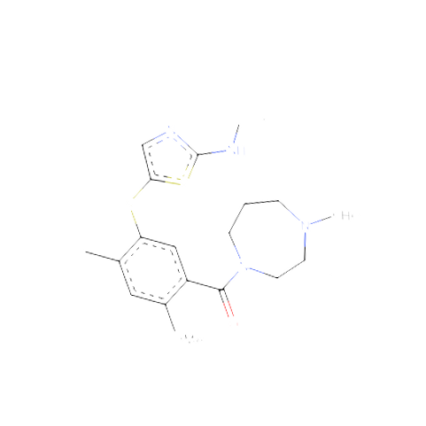 COc1cc(C)c(Sc2cnc(NC=O)s2)cc1C(=O)N1CCCN(C=O)[C@H](C)C1